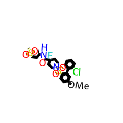 COc1ccc(S(=O)(=O)N2CCC(F)(C(=O)N[C@H](C)/C=C\S(C)(=O)=O)CC2)c(-c2ccccc2Cl)c1